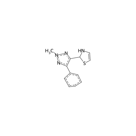 Cn1nc(-c2ccccc2)c(C2NC=CS2)n1